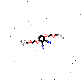 CCOCCOc1ccc(OCCOCC)c(C#N)c1C#N